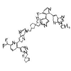 Cn1cnc2cc(-c3nccc(F)c3-c3cnn(CC4(C)CCC(Cn5cnc6cc(-c7nc(C(F)F)ccc7-c7cnn(CC8(F)CCCC8)c7)cnc65)C4)c3)cnc21